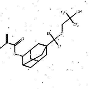 C=C(C)C(=O)OC1C2CC3CC1CC(C(CC)(CC)OCC(O)(C(F)(F)F)C(F)(F)F)(C3)C2